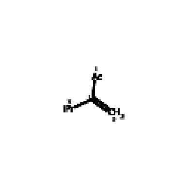 C=C(C(C)=O)C(C)C